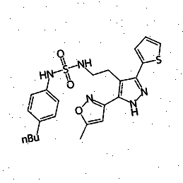 CCCCc1ccc(NS(=O)(=O)NCCc2c(-c3cccs3)n[nH]c2-c2cc(C)on2)cc1